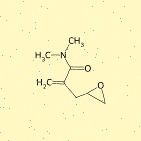 C=C(CC1CO1)C(=O)N(C)C